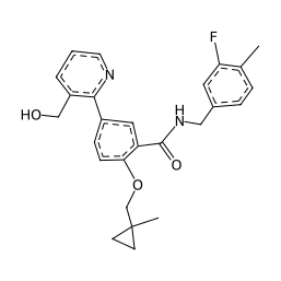 Cc1ccc(CNC(=O)c2cc(-c3ncccc3CO)ccc2OCC2(C)CC2)cc1F